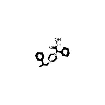 CC(CN1CCN(C(C(=O)NO)c2ccccc2)CC1)c1ccccc1